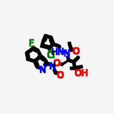 CC(=O)N(NCc1ccccc1Cl)[C@H](CON(C=O)c1cc2cc(F)ccc2cn1)C(C)C(C)(C)O